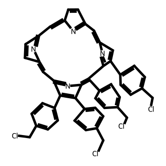 ClCc1ccc(C2=CC3=CC4=NC(=CC5=NC(=CC6=NC(=C(c7ccc(CCl)cc7)C2=N3)C(c2ccc(CCl)cc2)=C6c2ccc(CCl)cc2)C=C5)C=C4)cc1